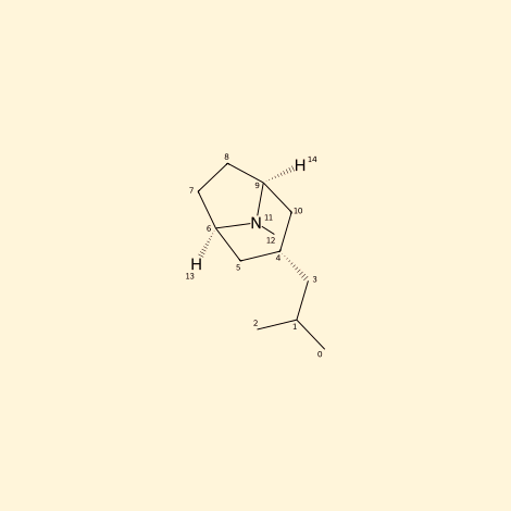 CC(C)C[C@@H]1C[C@H]2CC[C@@H](C1)N2C